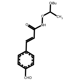 CC(C)COC(C)ONC(=O)C=Cc1ccc(C=O)cc1